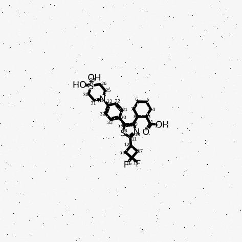 O=C(O)C1CCCCC1c1nc(C2CC(F)(F)C2)sc1-c1ccc(N2CCS(O)(O)CC2)cc1